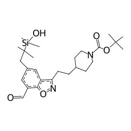 CC(C)(C)OC(=O)N1CCC(CCc2noc3c(C=O)cc(CC(C)(C)[Si](C)(C)O)cc23)CC1